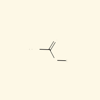 CCSC(=S)C=O